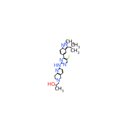 CC(O)CN1CCc2nc(Nc3ncc(F)c(-c4ccc5nn(C)c(C(C)C)c5c4)n3)ccc2C1